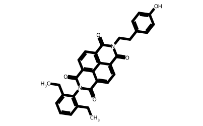 CCc1cccc(CC)c1N1C(=O)c2ccc3c4c(ccc(c24)C1=O)C(=O)N(CCc1ccc(O)cc1)C3=O